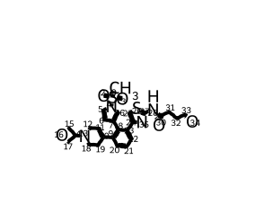 CS(=O)(=O)n1ccc(-c2c(C3=CCN(C4COC4)CC3)cccc2-c2csc(NC(=O)CCC=O)n2)c1